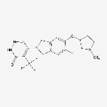 CN1CCC(Oc2cc3c(cc2F)CN(c2cn[nH]c(=O)c2C(F)(F)F)C3)C1